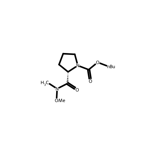 CCCCOC(=O)N1CCC[C@H]1C(=O)N(C)OC